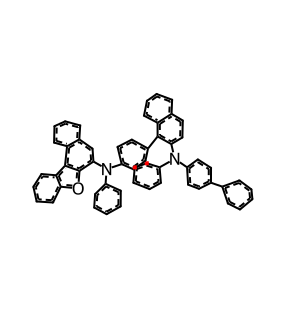 c1ccc(-c2ccc(N(c3ccccc3)c3ccc4ccccc4c3-c3ccc(N(c4ccccc4)c4cc5ccccc5c5c4oc4ccccc45)cc3)cc2)cc1